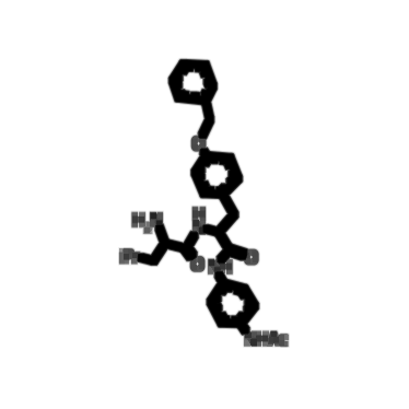 CC(=O)Nc1ccc(NC(=O)C(Cc2ccc(OCc3ccccc3)cc2)NC(=O)C(N)CC(C)C)cc1